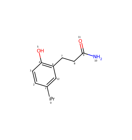 CC(C)c1ccc(O)c(CCC(N)=O)c1